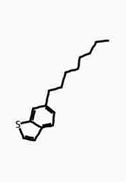 CCCCCCCCc1ccc2ccsc2c1